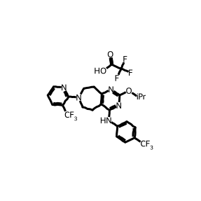 CC(C)Oc1nc2c(c(Nc3ccc(C(F)(F)F)cc3)n1)CCN(c1ncccc1C(F)(F)F)CC2.O=C(O)C(F)(F)F